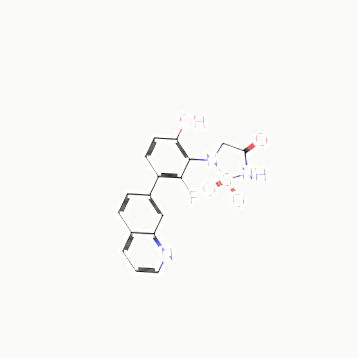 O=C1CN(c2c(O)ccc(-c3ccc4cccnc4c3)c2F)S(=O)(=O)N1